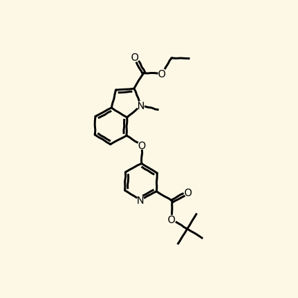 CCOC(=O)c1cc2cccc(Oc3ccnc(C(=O)OC(C)(C)C)c3)c2n1C